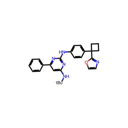 CC(C)(C)Nc1cc(-c2ccccc2)nc(Nc2ccc(C3(c4ncco4)CCC3)cc2)n1